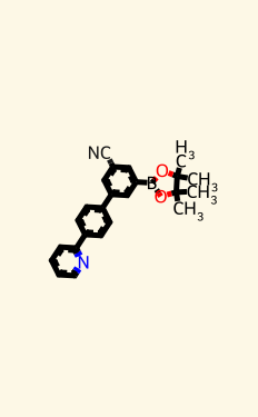 CC1(C)OB(c2cc(C#N)cc(-c3ccc(-c4ccccn4)cc3)c2)OC1(C)C